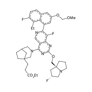 CCOC(=O)CCC12CCC(CN(c3nc(OC[C@@]45CCCN4C[C@H](F)C5)nc4c(F)c(-c5cc(OCOC)cc6ccc(F)c(CC)c56)ncc34)C1)C2